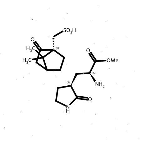 CC1(C)C2CC[C@]1(CS(=O)(=O)O)C(=O)C2.COC(=O)[C@@H](N)C[C@@H]1CCNC1=O